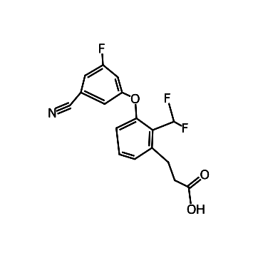 N#Cc1cc(F)cc(Oc2cccc(CCC(=O)O)c2C(F)F)c1